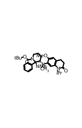 CN[C@]1(c2ccccc2)[C@@H](N(C)c2cc3c(cc2OC)CCC(=O)N3C(C)C)CCCN1C(=O)OC(C)(C)C